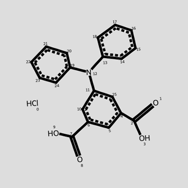 Cl.O=C(O)c1cc(C(=O)O)cc(N(c2ccccc2)c2ccccc2)c1